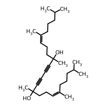 CC(=CCCC(C)(O)C#CC#CC(C)(O)CCC=C(C)CCCC(C)C)CCCC(C)C